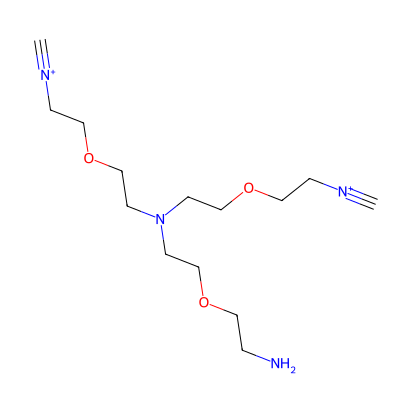 C#[N+]CCOCCN(CCOCCN)CCOCC[N+]#C